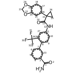 NC(=O)c1cccc(-c2ccc(NC(=O)C3(c4ccc5c(c4)OCO5)CC3)cc2C(F)(F)F)c1